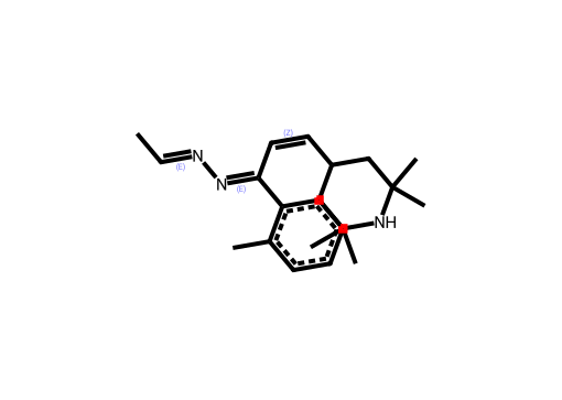 C/C=N/N=C(\C=C/C1CC(C)(C)NC(C)(C)C1)c1ccccc1C